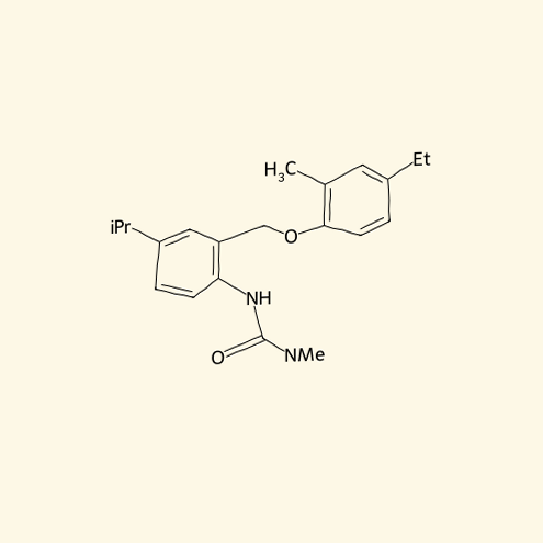 CCc1ccc(OCc2cc(C(C)C)ccc2NC(=O)NC)c(C)c1